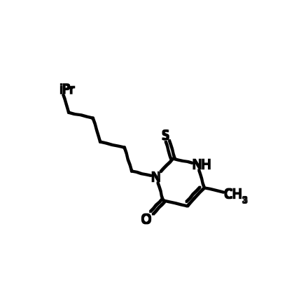 Cc1cc(=O)n(CCCCCC(C)C)c(=S)[nH]1